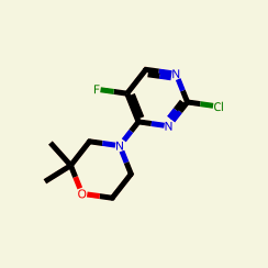 CC1(C)CN(c2nc(Cl)ncc2F)CCO1